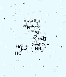 Cl.Cl.NC(CCCCB(O)O)(C(=O)O)[C@H]1C[C@@H](NCc2cccc3cccnc23)C1